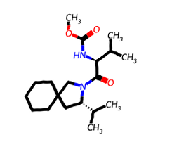 COC(=O)N[C@H](C(=O)N1CC2(CCCCC2)C[C@H]1C(C)C)C(C)C